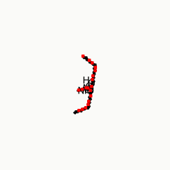 CCCCCCCC/C=C\CCCCCCCCOCC(COCCCCCCCC/C=C\CCCCCCCC)OC(=O)NCCNCC